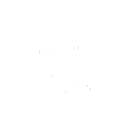 C[C](C)C(C)CC(N)=O